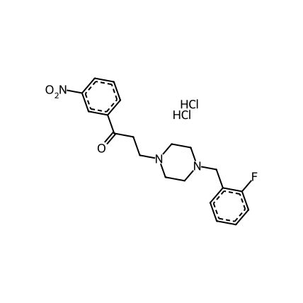 Cl.Cl.O=C(CCN1CCN(Cc2ccccc2F)CC1)c1cccc([N+](=O)[O-])c1